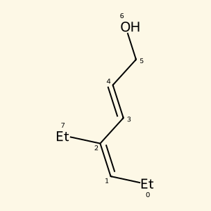 CCC=C(C=CCO)CC